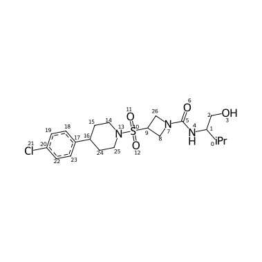 CC(C)C(CO)NC(=O)N1CC(S(=O)(=O)N2CCC(c3ccc(Cl)cc3)CC2)C1